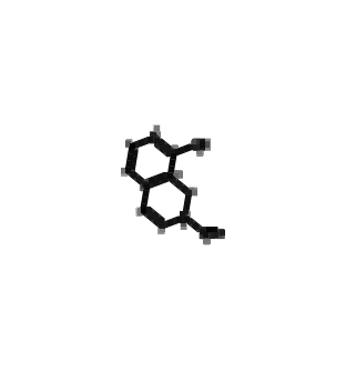 CSN1C=Cc2ccnc(O)c2C1